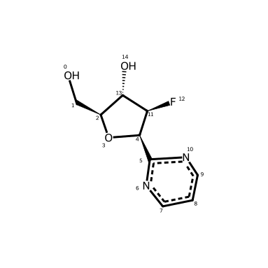 OC[C@@H]1O[C@H](c2ncccn2)[C@H](F)[C@H]1O